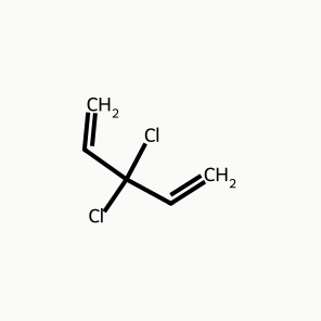 C=CC(Cl)(Cl)C=C